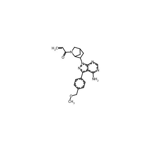 C=CC(=O)N1CC2CC1C(n1nc(-c3ccc(COC)cc3)c3c(N)ncnc31)C2